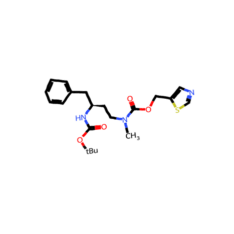 CN(CC[C@H](Cc1ccccc1)NC(=O)OC(C)(C)C)C(=O)OCc1cncs1